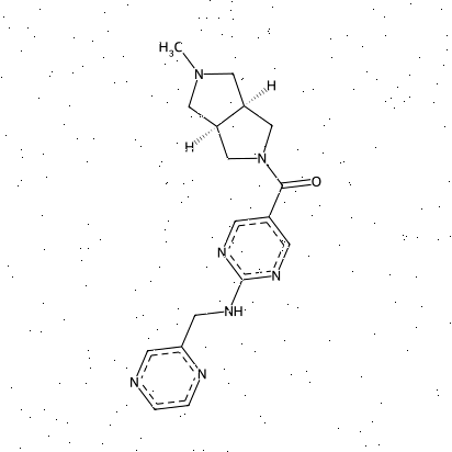 CN1C[C@@H]2CN(C(=O)c3cnc(NCc4cnccn4)nc3)C[C@@H]2C1